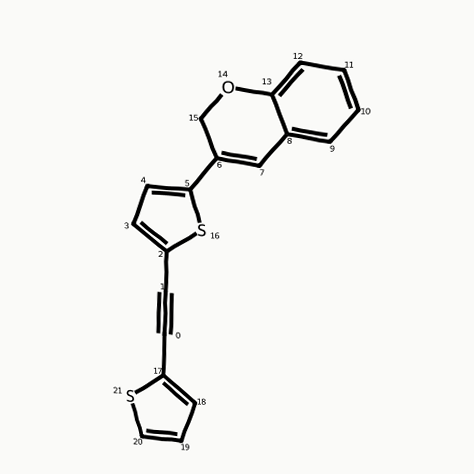 C(#Cc1ccc(C2=Cc3ccccc3OC2)s1)c1cccs1